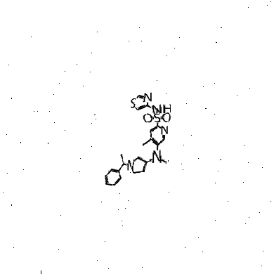 Cc1cc(S(=O)(=O)Nc2cscn2)ncc1N(C)[C@H]1CCN([C@H](C)c2ccccc2)C1